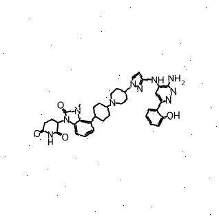 Cn1c(=O)n(C2CCC(=O)NC2=O)c2cccc(C3CCC(N4CCC(n5ccc(Nc6cc(-c7ccccc7O)nnc6N)n5)CC4)CC3)c21